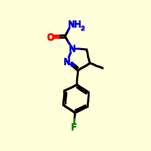 CC1CN(C(N)=O)N=C1c1ccc(F)cc1